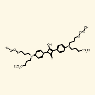 CCOC(=O)CCCN(CCCSOOO)c1ccc(C2=C(O)C(C3C=CC(=[N+](CCCSOOO)CCCC(=O)OCC)C=C3)C2=O)cc1